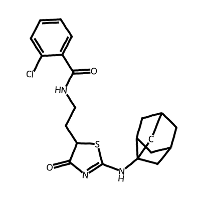 O=C(NCCC1SC(NC23CC4CC(CC2C4)C3)=NC1=O)c1ccccc1Cl